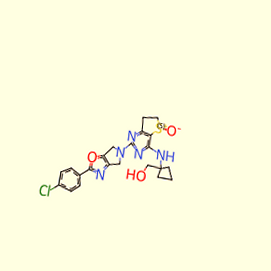 [O-][S@+]1CCc2nc(N3Cc4nc(-c5ccc(Cl)cc5)oc4C3)nc(NC3(CO)CCC3)c21